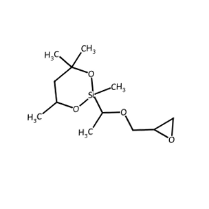 CC1CC(C)(C)O[Si](C)(C(C)OCC2CO2)O1